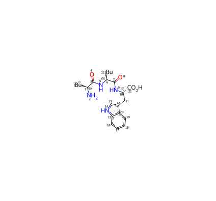 CCC(C)[C@H](N)C(=O)N[C@H](C(=O)N[C@@H](Cc1c[nH]c2ccccc12)C(=O)O)C(C)CC